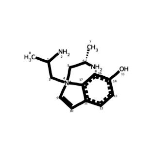 CC(N)C[N+]1(C[C@H](C)N)C=Cc2ccc(O)cc21